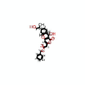 CC(CO)[C@H]1CC[C@@H]2[C@H](C1)Oc1cc(CC(=O)OCc3ccccc3)oc(=O)c1[C@H]2O